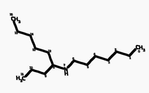 CCCCCCCNC(CCC)CCCCC